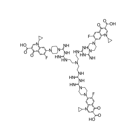 N=C(NCCN(CCNC(=N)NC(=N)N1CCN(c2cc3c(cc2F)c(=O)c(C(=O)O)cn3C2CC2)CC1)CCNC(=N)NC(=N)N1CCN(c2cc3c(cc2F)c(=O)c(C(=O)O)cn3C2CC2)CC1)NC(=N)N1CCN(c2cc3c(cc2F)c(=O)c(C(=O)O)cn3C2CC2)CC1